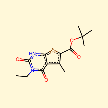 CCn1c(=O)[nH]c2sc(C(=O)OC(C)(C)C)c(C)c2c1=O